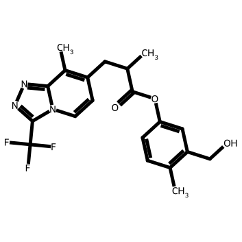 Cc1ccc(OC(=O)C(C)Cc2ccn3c(C(F)(F)F)nnc3c2C)cc1CO